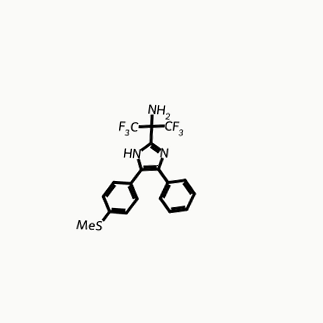 CSc1ccc(-c2[nH]c(C(N)(C(F)(F)F)C(F)(F)F)nc2-c2ccccc2)cc1